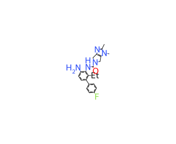 CCc1c(-c2ccc(F)cc2)ccc(N)c1NC(=O)N1Cc2nc(C)n(C)c2C1